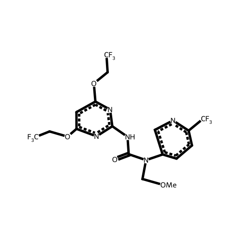 COCN(C(=O)Nc1nc(OCC(F)(F)F)cc(OCC(F)(F)F)n1)c1ccc(C(F)(F)F)nc1